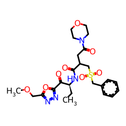 CC[C@H](NC(=O)C(CC(=O)N1CCOCC1)CS(=O)(=O)Cc1ccccc1)C(=O)c1nnc(COC)o1